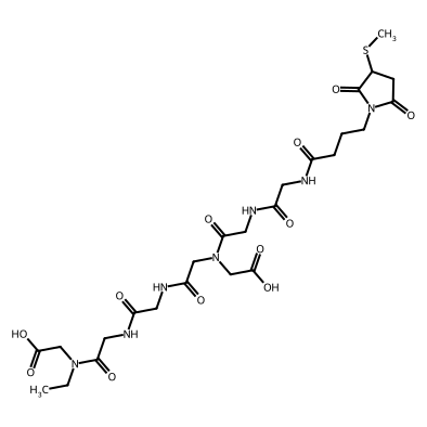 CCN(CC(=O)O)C(=O)CNC(=O)CNC(=O)CN(CC(=O)O)C(=O)CNC(=O)CNC(=O)CCCN1C(=O)CC(SC)C1=O